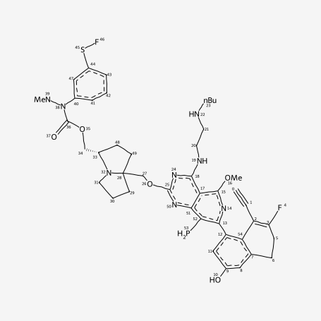 C#CC1=C(F)CCc2cc(O)cc(-c3nc(OC)c4c(NCCNCCCC)nc(OCC56CCCN5[C@H](COC(=O)N(NC)c5cccc(SF)c5)CC6)nc4c3P)c21